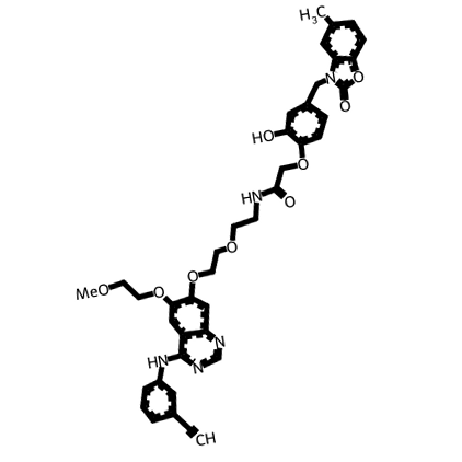 C#Cc1cccc(Nc2ncnc3cc(OCCOCCNC(=O)COc4ccc(Cn5c(=O)oc6ccc(C)cc65)cc4O)c(OCCOC)cc23)c1